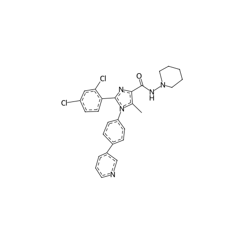 Cc1c(C(=O)NN2CCCCC2)nc(-c2ccc(Cl)cc2Cl)n1-c1ccc(-c2cccnc2)cc1